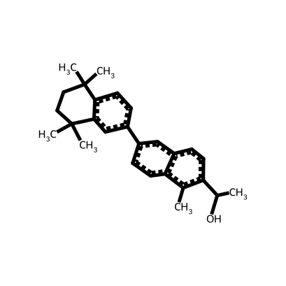 Cc1c(C(C)O)ccc2cc(-c3ccc4c(c3)C(C)(C)CCC4(C)C)ccc12